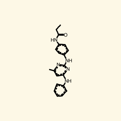 CCC(=O)Nc1ccc(Nc2nc(C)cc(Nc3ccccc3)n2)cc1